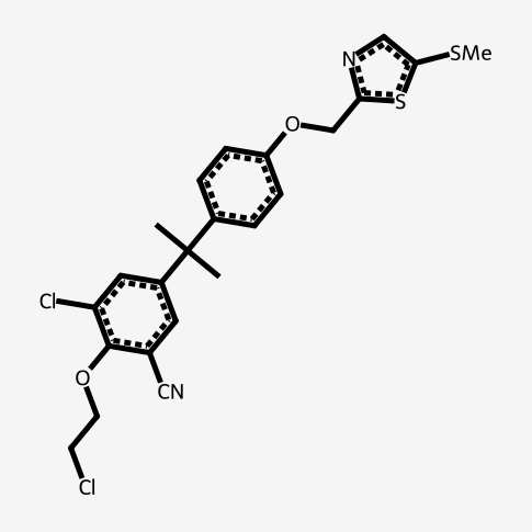 CSc1cnc(COc2ccc(C(C)(C)c3cc(Cl)c(OCCCl)c(C#N)c3)cc2)s1